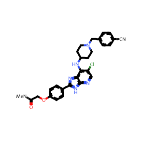 CNC(=O)COc1ccc(-c2nc3c(NC4CCN(Cc5ccc(C#N)cc5)CC4)c(Cl)cnc3[nH]2)cc1